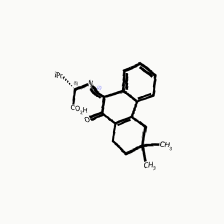 CC(C)[C@H](/N=C1\C(=O)C2=C(CC(C)(C)CC2)c2ccccc21)C(=O)O